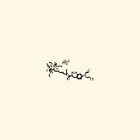 CCOP(=O)(OCC)C(CCCCCNC(=O)[C@@H](N)Cc1ccc(N(CCCl)CCCl)cc1)P(=O)(OCC)OCC.Cl.Cl